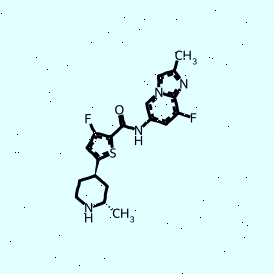 Cc1cn2cc(NC(=O)c3sc([C@@H]4CCN[C@@H](C)C4)cc3F)cc(F)c2n1